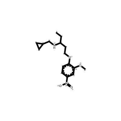 CCC(CCOc1ccc([N+](=O)[O-])cc1OC)NCC1CC1